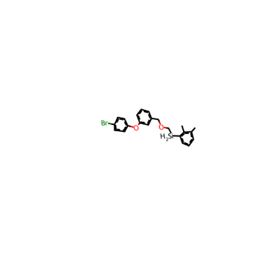 Cc1cccc([SiH2]COCc2cccc(Oc3ccc(Br)cc3)c2)c1C